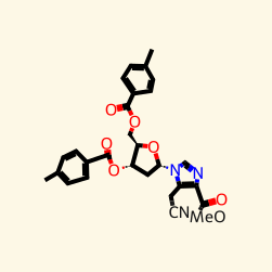 COC(=O)c1ncn([C@@H]2C[C@H](OC(=O)c3ccc(C)cc3)[C@@H](COC(=O)c3ccc(C)cc3)O2)c1CC#N